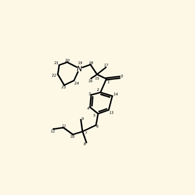 C=C(c1ccc(CC(C)(C)CCC)cc1)C(C)(C)CN1CCCCC1